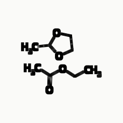 CC1OCCO1.CCOC(C)=O